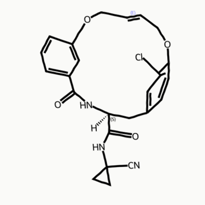 N#CC1(NC(=O)[C@@H]2Cc3ccc(c(Cl)c3)OC/C=C/COc3cccc(c3)C(=O)N2)CC1